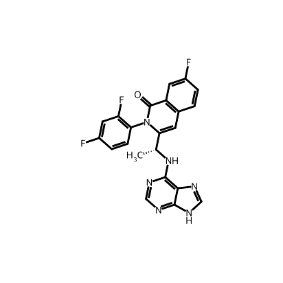 C[C@@H](Nc1ncnc2[nH]cnc12)c1cc2ccc(F)cc2c(=O)n1-c1ccc(F)cc1F